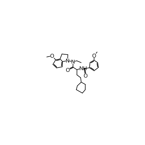 CCN(C(=O)C(CCC1CCCCC1)NC(=O)c1cccc(OC)c1)N1CCc2c(OC)cccc21